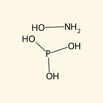 NO.OP(O)O